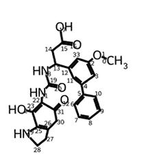 COc1cc(-c2ccccc2)cc(C(CC(=O)O)NC(=O)NC2=C(O)C3=C(CCN3)CC2=O)c1